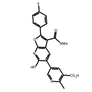 CCCc1nc2oc(-c3ccc(F)cc3)c(C(=O)NC)c2cc1-c1cnc(C)c(C(=O)O)c1